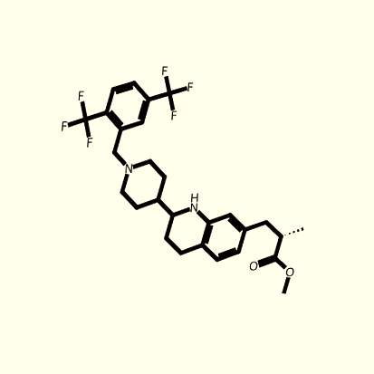 COC(=O)[C@@H](C)Cc1ccc2c(c1)NC(C1CCN(Cc3cc(C(F)(F)F)ccc3C(F)(F)F)CC1)CC2